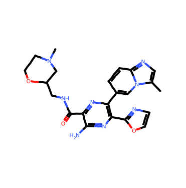 Cc1cnc2ccc(-c3nc(C(=O)NCC4CN(C)CCO4)c(N)nc3-c3ncco3)cn12